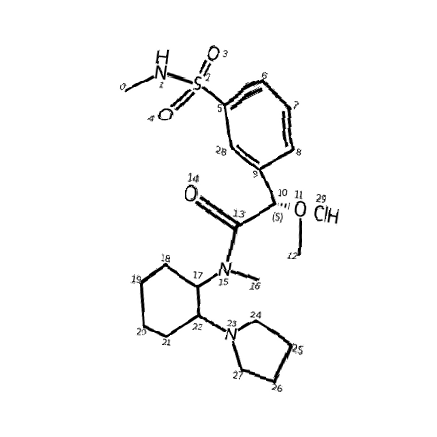 CNS(=O)(=O)c1cccc([C@H](OC)C(=O)N(C)C2CCCCC2N2CCCC2)c1.Cl